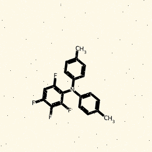 Cc1ccc(N(c2ccc(C)cc2)c2c(F)cc(F)c(F)c2F)cc1